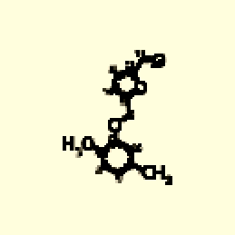 Cc1ccc(C)c(OCc2ccc(C=O)o2)c1